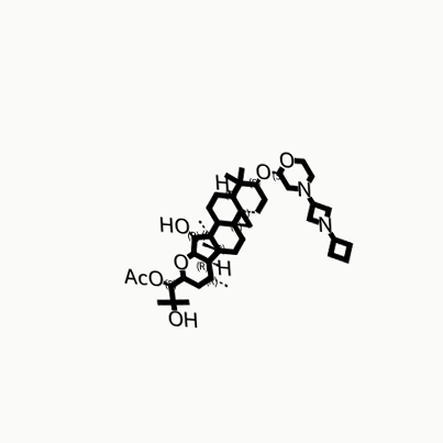 CC(=O)O[C@@H](C1C[C@@H](C)[C@H]2C(O1)[C@H](O)[C@@]1(C)C3CC[C@H]4C(C)(C)[C@@H](O[C@H]5CN(C6CN(C7CCC7)C6)CCO5)CC[C@@]45C[C@@]35CC[C@]21C)C(C)(C)O